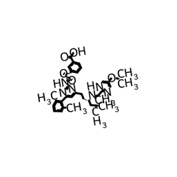 Cc1cccc(C)c1-c1cc(CC[C@@H](CC(C)(C)C)NCc2ncc(OC(C)C)cn2)nc(NS(=O)(=O)c2cccc(C(=O)O)c2)n1